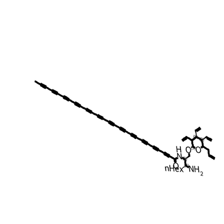 C=CCC1O[C@H](OC[C@H](NC(=O)C#CC#CC#CC#CC#CC#CC#CC#CC#CC#CC#CC#CC)[C@H](N)CCCCCC)C(C=C)[C@@H](C=C)[C@H]1C=C